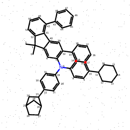 CC1(C)c2cc(N(c3ccc(C4CCCCC4)cc3)c3ccc(C4CC5CCC4C5)cc3)c(-c3ccccc3)cc2-c2c(-c3ccccc3)cccc21